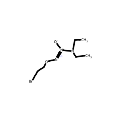 CCN(CC)/[N+]([O-])=N/OCCBr